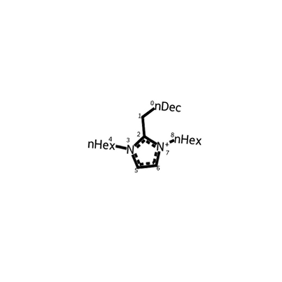 CCCCCCCCCCCc1n(CCCCCC)cc[n+]1CCCCCC